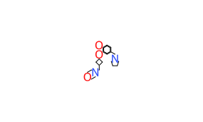 COc1ccc(CN2CCCC2)cc1OC1CC(CN2CCOCC2)C1